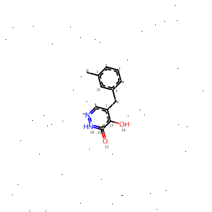 Cc1cccc(Cc2cn[nH]c(=O)c2O)c1